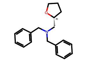 c1ccc(CN(Cc2ccccc2)C[C@H]2CCCO2)cc1